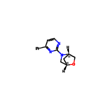 CC(C)c1ccnc(N2C[C@@H]3C[C@H]2CO3)n1